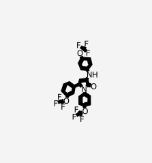 O=C1C(Nc2ccc(OC(F)(F)F)cc2)=CC(c2cccc(OC(F)(F)F)c2)N1c1ccc(OC(F)(F)F)cc1